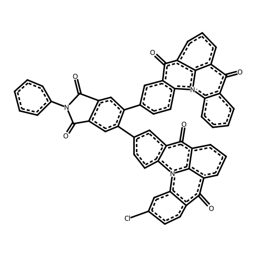 O=C1c2cc(-c3ccc4c(c3)c(=O)c3cccc5c(=O)c6ccccc6n4c53)c(-c3ccc4c(c3)c(=O)c3cccc5c(=O)c6ccc(Cl)cc6n4c35)cc2C(=O)N1c1ccccc1